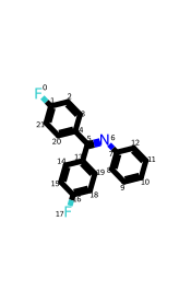 Fc1ccc(C(=Nc2ccccc2)c2ccc(F)cc2)cc1